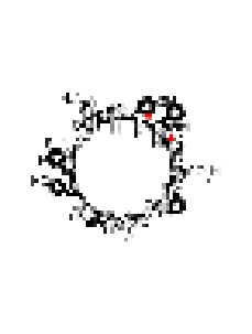 CCCC[C@H]1C(=O)N(CCC)CC(=O)N[C@@H](CC(=O)O)C(=O)N[C@@H](C(C)C)C(=O)N(C)[C@@H](Cc2ccccc2)C(=O)N[C@@H](CCC(=O)O)C(=O)N2CCOC[C@@H]2C(=O)N[C@@H](Cc2c[nH]c3ccccc23)C(=O)N[C@@H](Cc2ccc(O)cc2)C(=O)N[C@@H](CC(C)C)C(=O)N[C@H](C(=O)NCC(N)=O)CSCC(=O)N[C@@H](Cc2cc(F)c(F)c(F)c2)C(=O)N(C)C(Cc2ccc(O)cc2)C(=O)N1C